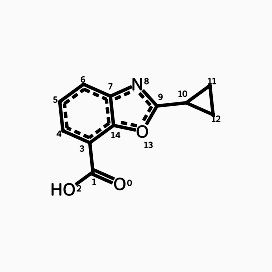 O=C(O)c1cccc2nc(C3CC3)oc12